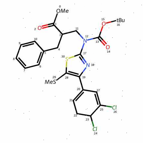 COC(=O)C(Cc1ccccc1)CN(C(=O)OC(C)(C)C)c1nc(C2=CCC(Cl)C(Cl)=C2)c(SC)s1